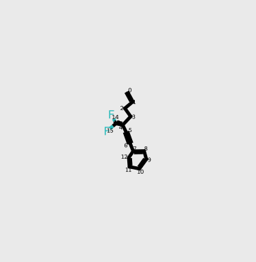 C=CCCC(C#Cc1ccccc1)=C(F)F